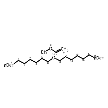 C=COCC.CCCCCCCCCCCCCCCCOCCCCCCCCCCCCCCCC